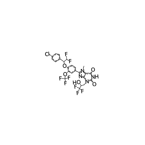 Cn1c(-c2ccc(OC(c3ccc(Cl)cc3)C(F)F)c(OC(F)(F)F)c2)nc2c1c(=O)[nH]c(=O)n2CC(O)C(F)(F)F